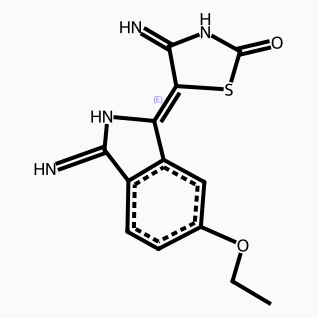 CCOc1ccc2c(c1)/C(=C1\SC(=O)NC1=N)NC2=N